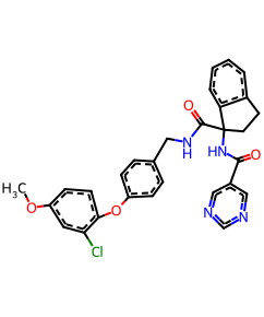 COc1ccc(Oc2ccc(CNC(=O)C3(NC(=O)c4cncnc4)CCc4ccccc43)cc2)c(Cl)c1